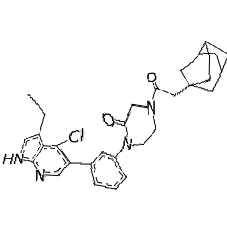 CCc1c[nH]c2ncc(-c3cccc(N4CCN(C(=O)CC56CC7CC(C5)C(C7)C6)CC4=O)c3)c(Cl)c12